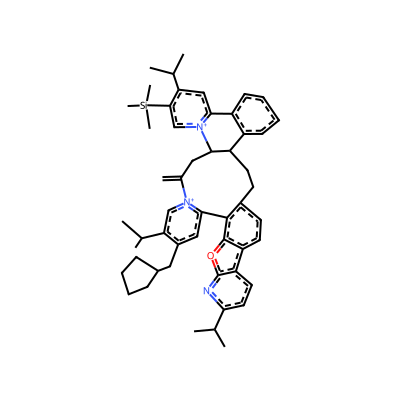 C=C1CC2C(CCc3ccc4c(oc5nc(C(C)C)ccc54)c3-c3cc(CC4CCCC4)c(C(C)C)c[n+]31)c1ccccc1-c1cc(C(C)C)c([Si](C)(C)C)c[n+]12